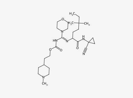 CCC(C)(C)CCC(N=C(NC(=O)OCCC1CCN(C)CC1)N1CCOCC1)C(=O)NC1(C#N)CC1